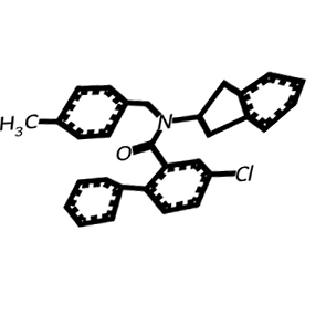 Cc1ccc(CN(C(=O)c2cc(Cl)ccc2-c2ccccc2)C2Cc3ccccc3C2)cc1